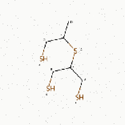 CC(CS)SC(CS)CS